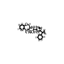 CN1C(=O)[C@@H](NC(O)c2nnc(C3(c4ccccc4)CC3)[nH]2)COc2cccnc21